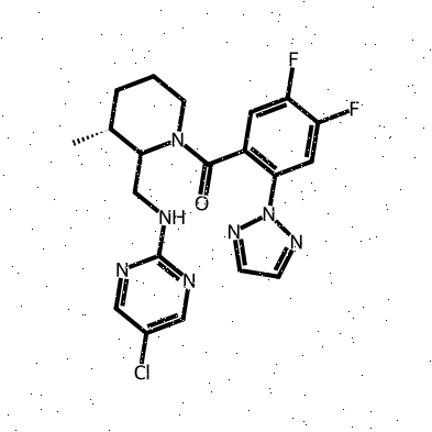 C[C@@H]1CCCN(C(=O)c2cc(F)c(F)cc2-n2nccn2)C1CNc1ncc(Cl)cn1